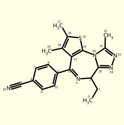 CCC1N=C(c2ccc(C#N)cc2)c2c(sc(C)c2C)-n2c(C)nnc21